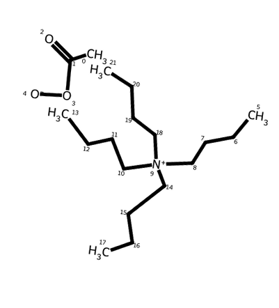 CC(=O)O[O-].CCCC[N+](CCCC)(CCCC)CCCC